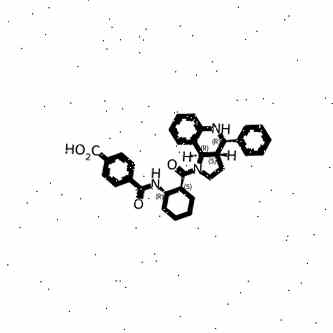 O=C(O)c1ccc(C(=O)N[C@@H]2CCCC[C@@H]2C(=O)N2CC[C@H]3[C@H](c4ccccc4)Nc4ccccc4[C@@H]32)cc1